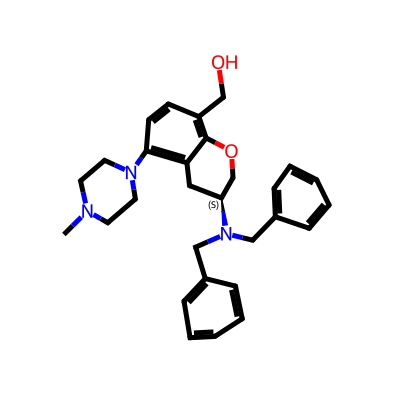 CN1CCN(c2ccc(CO)c3c2C[C@H](N(Cc2ccccc2)Cc2ccccc2)CO3)CC1